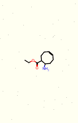 CCOC(=O)C1CC/C=C\CCC1N